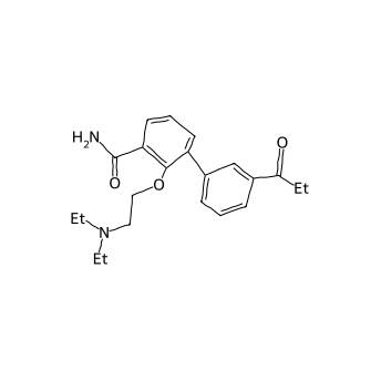 CCC(=O)c1cccc(-c2cccc(C(N)=O)c2OCCN(CC)CC)c1